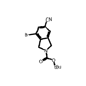 CC(C)(C)OC(=O)N1Cc2cc(C#N)cc(Br)c2C1